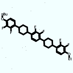 CCCCOc1ccc(C2CCC(c3ccc(C4CCC(c5ccc(OCC)c(F)c5F)CC4)c(F)c3F)CC2)c(F)c1F